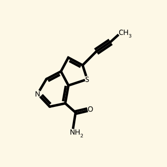 CC#Cc1cc2cncc(C(N)=O)c2s1